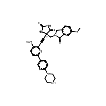 COc1ccc2c(c1)C(=O)N(C[C@@]1(C#Cc3nc(-c4ccc(N5CCNCC5)nc4)ccc3OC)NC(=O)NC1=O)C2